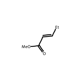 [CH2]CC=CC(=O)OC